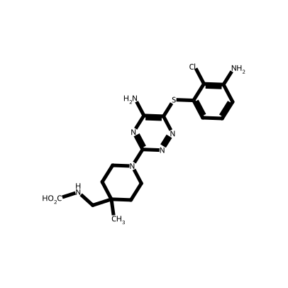 CC1(CNC(=O)O)CCN(c2nnc(Sc3cccc(N)c3Cl)c(N)n2)CC1